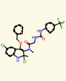 CN(C(=O)CNC(=O)Nc1ccc(C(F)(F)F)cc1)C1=C(OCc2ccccc2)c2cc(Cl)ccc2NC1(C)Cl